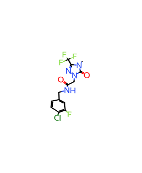 Cn1c(C(F)(F)F)nn(CC(=O)NCc2ccc(Cl)c(F)c2)c1=O